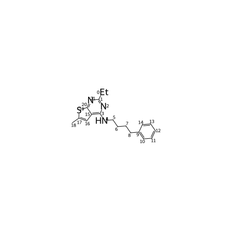 CCc1nc(NCCCCc2ccccc2)c2cc(C)sc2n1